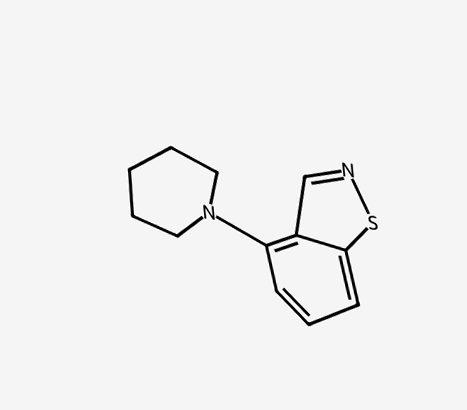 c1cc(N2CCCCC2)c2cnsc2c1